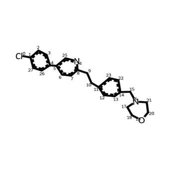 Clc1ccc(-c2ccc(CCc3ccc(CN4CCOCC4)cc3)nc2)cc1